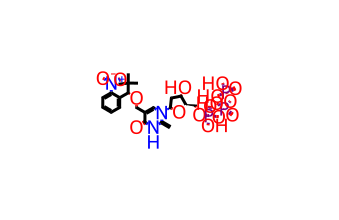 C=C1NC(=O)C(CO[C@@H](c2ccccc2[N+](=O)[O-])C(C)(C)C)=CN1[C@H]1C[C@@H](O)[C@@H](COP(=O)(O)OP(=O)(O)OP(=O)(O)O)O1